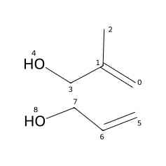 C=C(C)CO.C=CCO